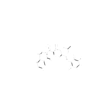 C=C(O)C[C@H](NC(=O)[C@H](CC)n1cnc2ccccc2c1=O)C(=O)COc1c(F)ccc(F)c1F